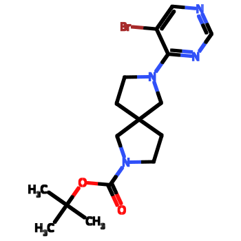 CC(C)(C)OC(=O)N1CCC2(CCN(c3ncncc3Br)C2)C1